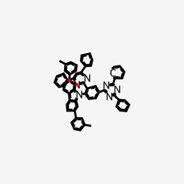 Cc1cccc(-c2ccc3c4ccc(-c5cccc(C)c5)cc4n(-c4ccc(-c5nc(-c6ccccc6)nc(-c6ccccc6)n5)cc4-c4nc(-c5ccccc5)cc(-c5ccccc5)n4)c3c2)c1